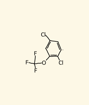 FC(F)(F)Oc1cc(Cl)c[c]c1Cl